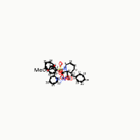 COc1ccc(S(=O)(=O)N2CC=CCC(C(O)c3ccccc3)C2(C(N)=O)C(=O)OC(c2ccccc2)c2ccccc2)cc1